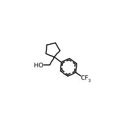 OCC1(c2ccc(C(F)(F)F)cc2)CCCC1